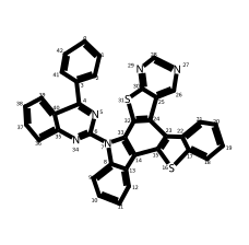 c1ccc(-c2nc(-n3c4ccccc4c4c5sc6ccccc6c5c5c6cncnc6sc5c43)nc3ccccc23)cc1